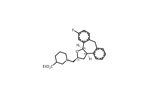 CCOC(=O)C1CCCN(C[C@@H]2C[C@@H]3c4ccccc4Cc4ccc(F)cc4[C@@H]3O2)C1